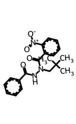 CC(C)(C)CN(NC(=O)c1ccccc1)C(=O)c1ccccc1[N+](=O)[O-]